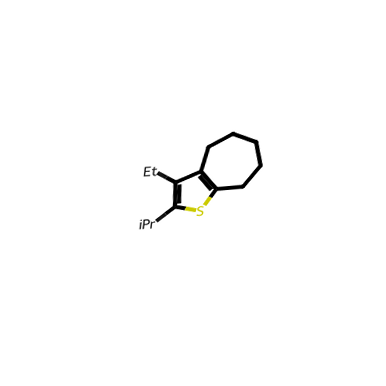 CCc1c(C(C)C)sc2c1CCCCC2